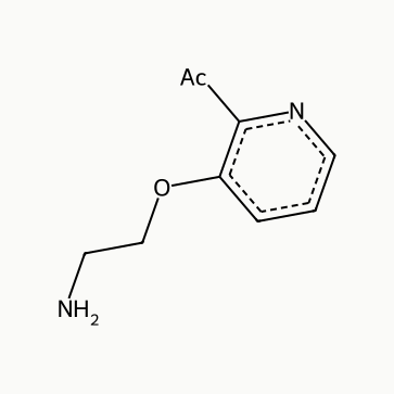 CC(=O)c1ncccc1OCCN